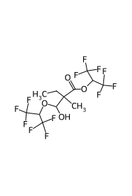 CCC(C)(C(=O)OC(C(F)(F)F)C(F)(F)F)C(O)OC(C(F)(F)F)C(F)(F)F